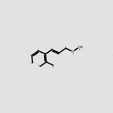 C/C=C\C(/C=C/COO)=C(C)C